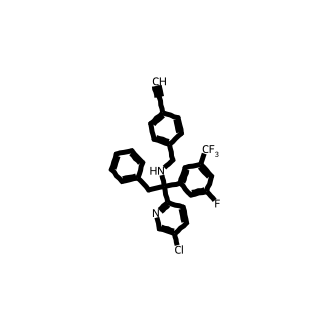 C#Cc1ccc(CNC(Cc2ccccc2)(c2cc(F)cc(C(F)(F)F)c2)c2ccc(Cl)cn2)cc1